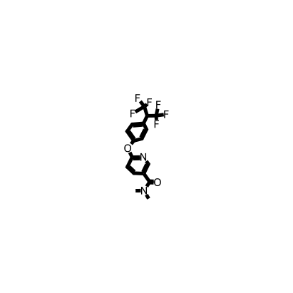 CN(C)C(=O)c1ccc(Oc2ccc(C(C(F)(F)F)C(F)(F)F)cc2)nc1